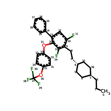 CCC[C@H]1CC[C@H](CCc2c(F)cc(-c3ccccc3)c(Oc3ccc(OC(F)(F)F)cc3)c2F)CC1